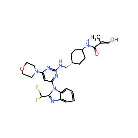 C/C(=C\O)C(=O)N[C@H]1CC[C@H](CNc2nc(N3CCOCC3)cc(-n3c(C(F)F)nc4ccccc43)n2)CC1